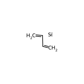 C=CC=C.[Si]